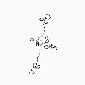 COC(=O)c1c(CCCCCOC(=O)c2ccccc2)nc(Cl)c(CCCCCOC(=O)c2ccccc2)c1C1CC1